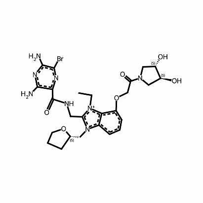 CC[n+]1c(CNC(=O)c2nc(Br)c(N)nc2N)n(C[C@@H]2CCCO2)c2cccc(OCC(=O)N3C[C@H](O)[C@@H](O)C3)c21